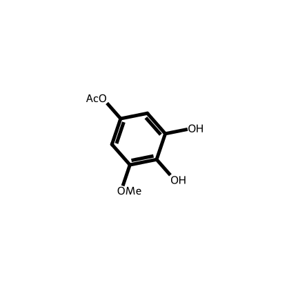 COc1cc(OC(C)=O)cc(O)c1O